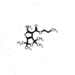 CCCOC(=O)c1c(N)sc2c1C(C)(C)OC2(C)C